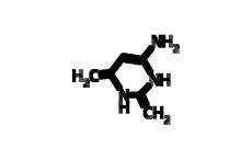 C=C1C=C(N)NC(=C)N1